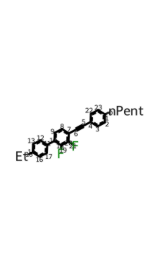 CCCCCc1ccc(C#Cc2ccc(-c3ccc(CC)cc3)c(F)c2F)cc1